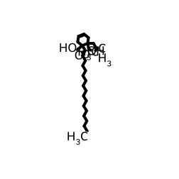 CCCCCCCCCCCCCCCCCCC1(C(=O)O)CC=CCC1(CC(C)C)C(=O)O